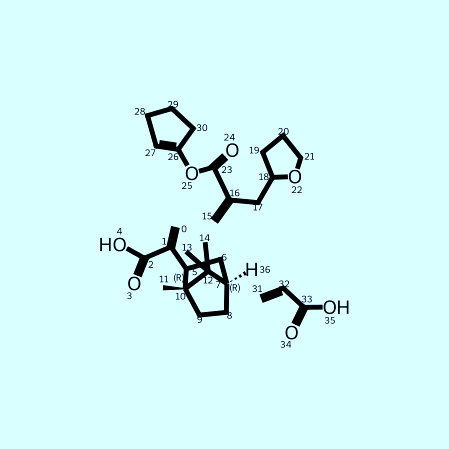 C=C(C(=O)O)C1C[C@H]2CC[C@@]1(C)C2(C)C.C=C(CC1CCCO1)C(=O)OC1=CCCC1.C=CC(=O)O